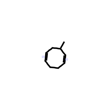 CC1/C=C\CC/C=C\C1